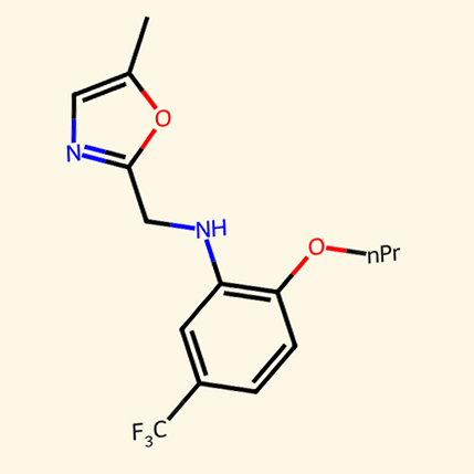 CCCOc1ccc(C(F)(F)F)cc1NCc1ncc(C)o1